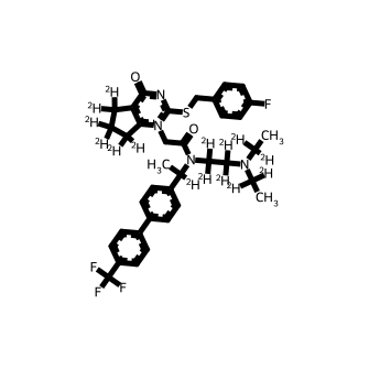 [2H]C([2H])(C)N(C([2H])([2H])C)C([2H])([2H])C([2H])([2H])N(C(=O)Cn1c(SCc2ccc(F)cc2)nc(=O)c2c1C([2H])([2H])C([2H])([2H])C2([2H])[2H])C([2H])(C)c1ccc(-c2ccc(C(F)(F)F)cc2)cc1